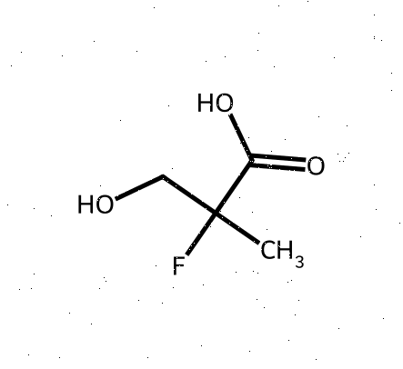 CC(F)(CO)C(=O)O